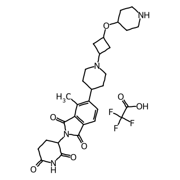 Cc1c(C2CCN(C3CC(OC4CCNCC4)C3)CC2)ccc2c1C(=O)N(C1CCC(=O)NC1=O)C2=O.O=C(O)C(F)(F)F